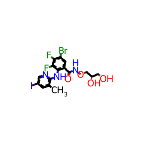 Cc1cc(I)cnc1Nc1c(C(=O)NOC[C@H](O)CO)cc(Br)c(F)c1F